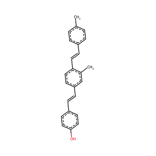 Cc1ccc(/C=C/c2ccc(/C=C/c3ccc(O)cc3)cc2C)cc1